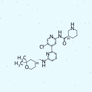 CC1(C)C[C@H](CNc2cccc(-c3cc(NC(=O)[C@@H]4CCCNC4)ncc3Cl)n2)CCO1